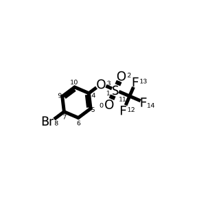 O=S(=O)(OC1=CCC(Br)C=C1)C(F)(F)F